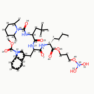 CCCC[C@@H](NC(=O)C(Cc1cn(C(=O)OC)c2ccccc12)NC(=O)C(CC(C)(C)C)NC(=O)N1C(C)CCCC1C)C(=O)OCCCON(O)O